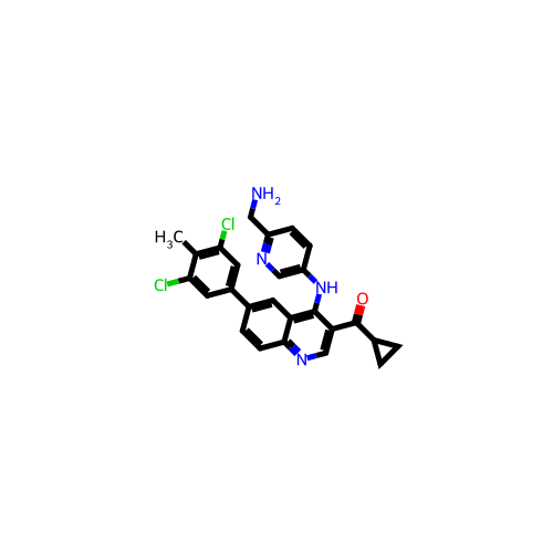 Cc1c(Cl)cc(-c2ccc3ncc(C(=O)C4CC4)c(Nc4ccc(CN)nc4)c3c2)cc1Cl